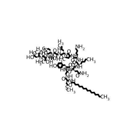 CCCCCCCCCCCCCCCC(=O)N[C@@H](CCSC)C(=O)NCC(=O)N[C@H](Cc1ccc(O)cc1)C(=O)N[C@@H](CCC(N)=O)C(=O)N[C@@H](CCCCC)C(=O)N[C@@H](CCCCN)C(=O)N[C@H]1CC(C)N([C@@H](CCCC)C(=O)N[C@@H](CO)C(=O)N[C@@H](CCSC)C(=O)N[C@H](C(=O)N[C@@H](CC(=O)O)C(C)=O)[C@@H](C)O)C1=O